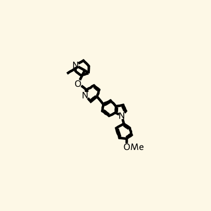 COc1ccc(-n2ccc3cc(-c4ccc(OC5C6CCN(CC6)C5C)nc4)ccc32)cc1